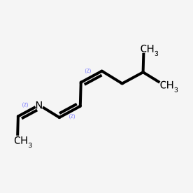 C\C=N/C=C\C=C/CC(C)C